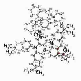 CC1(C)Cc2ccc(N3c4cc5c(cc4B4c6ccc(C(C)(C)C)cc6N(c6ccc(C(C)(C)C)cc6-c6ccccc6)c6cc(N7c8ccc(C9(c%10ccccc%10)CC9c9ccccc9)cc8C8(C)CCCCC78C)cc3c64)CC(C)(C)C5)cc2C1